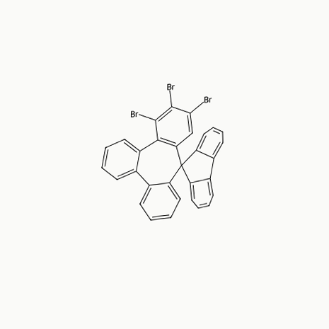 Brc1cc2c(c(Br)c1Br)-c1ccccc1-c1ccccc1C21c2ccccc2-c2ccccc21